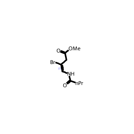 CCCC(=O)N/C=C(/Br)CC(=O)OC